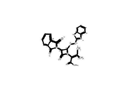 COC(=O)C(=C(C)C)N1C(=O)C(N2C(=O)c3ccccc3C2=O)C1SSc1nc2ccccc2s1